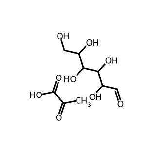 CC(=O)C(=O)O.O=CC(O)C(O)C(O)C(O)CO